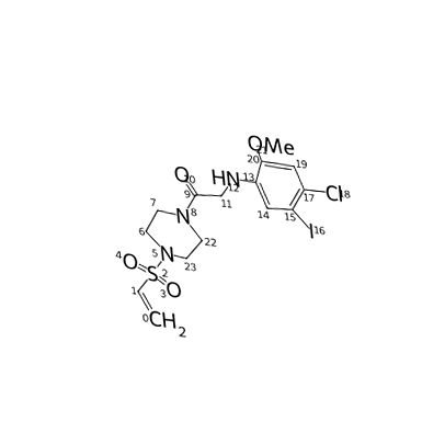 C=CS(=O)(=O)N1CCN(C(=O)CNc2cc(I)c(Cl)cc2OC)CC1